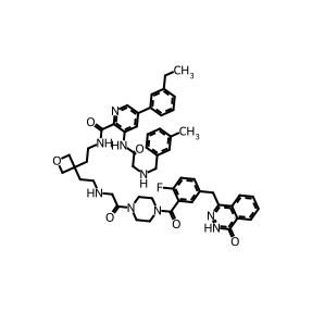 CCc1cccc(-c2cnc(C(=O)NCCC3(CCNCC(=O)N4CCN(C(=O)c5cc(Cc6n[nH]c(=O)c7ccccc67)ccc5F)CC4)COC3)c(NC(=O)CNCc3cccc(C)c3)c2)c1